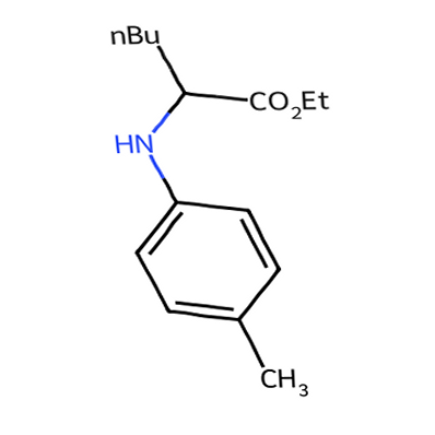 CCCCC(Nc1ccc(C)cc1)C(=O)OCC